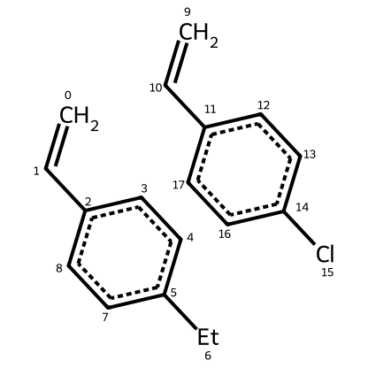 C=Cc1ccc(CC)cc1.C=Cc1ccc(Cl)cc1